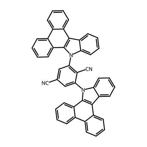 N#Cc1cc(-n2c3ccccc3c3c4ccccc4c4ccccc4c32)c(C#N)c(-n2c3ccccc3c3c4ccccc4c4ccccc4c32)c1